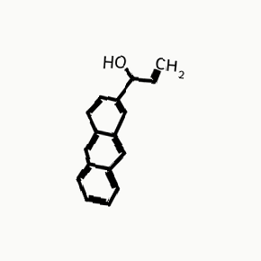 C=CC(O)c1ccc2cc3ccccc3cc2c1